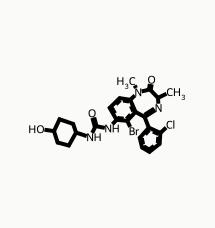 CC1N=C(c2ccccc2Cl)c2c(ccc(NC(=O)NC3CCC(O)CC3)c2Br)N(C)C1=O